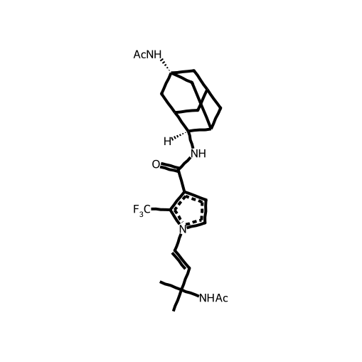 CC(=O)NC(C)(C)/C=C/n1ccc(C(=O)N[C@H]2C3CC4CC2C[C@](NC(C)=O)(C4)C3)c1C(F)(F)F